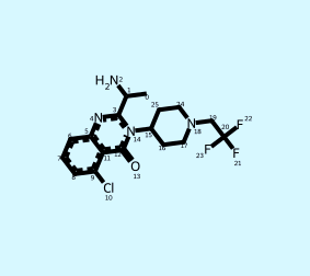 CC(N)c1nc2cccc(Cl)c2c(=O)n1C1CCN(CC(F)(F)F)CC1